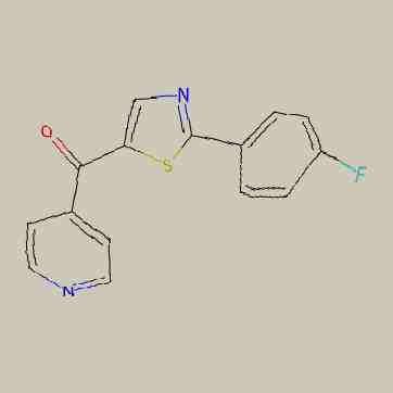 O=C(c1ccncc1)c1cnc(-c2ccc(F)cc2)s1